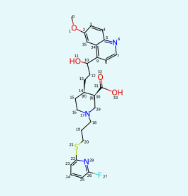 COc1ccc2nccc(C(O)CC[C@@H]3CCN(CCCSc4cccc(F)n4)C[C@@H]3C(=O)O)c2c1